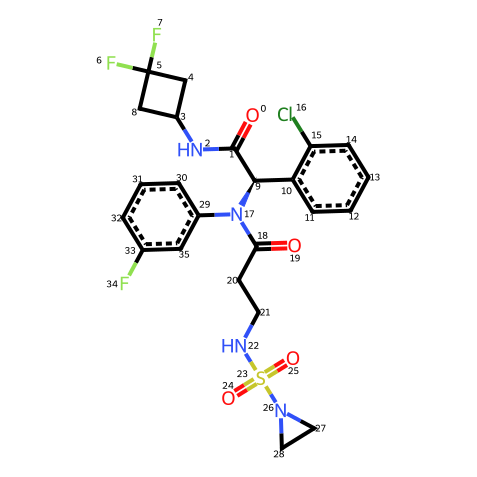 O=C(NC1CC(F)(F)C1)[C@@H](c1ccccc1Cl)N(C(=O)CCNS(=O)(=O)N1CC1)c1cccc(F)c1